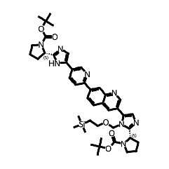 CC(C)(C)OC(=O)N1CCC[C@H]1c1ncc(-c2ccc(-c3ccc4cc(-c5cnc([C@@H]6CCCN6C(=O)OC(C)(C)C)n5COCC[Si](C)(C)C)cnc4c3)nc2)[nH]1